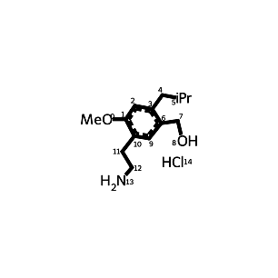 COc1cc(CC(C)C)c(CO)cc1CCN.Cl